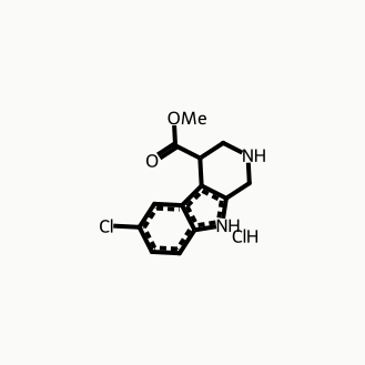 COC(=O)C1CNCc2[nH]c3ccc(Cl)cc3c21.Cl